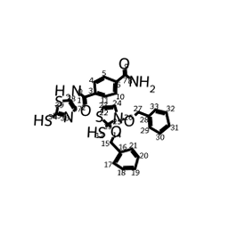 NC(=O)c1ccc(C(N)=O)cc1.SC1(OCc2ccccc2)SC=CN1OCc1ccccc1.Sc1nccs1